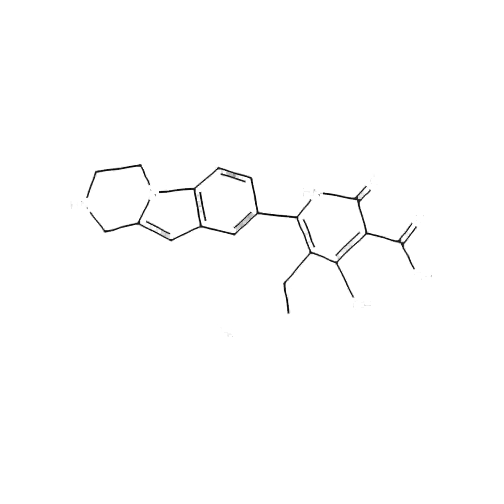 CCc1c(-c2ccc3c(c2)cc2n3CCNC2)[nH]c(=O)c(C(=O)O)c1O.Cl